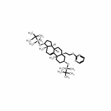 CC(C)(C)[Si](C)(C)O[C@H]1CC[C@]2(C)C3=CC[C@]4(C)[C@@H](O[Si](C)(C)C(C)(C)C)CC[C@H]4[C@@H]3CC[C@]2(CCSc2ncccn2)C1